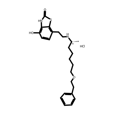 C[C@H](CCCCCOCCc1ccccc1)NCCc1ccc(O)c2[nH]c(=O)sc12.Cl